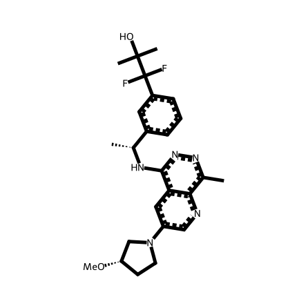 CO[C@H]1CCN(c2cnc3c(C)nnc(N[C@H](C)c4cccc(C(F)(F)C(C)(C)O)c4)c3c2)C1